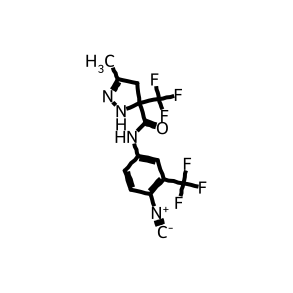 [C-]#[N+]c1ccc(NC(=O)C2(C(F)(F)F)CC(C)=NN2)cc1C(F)(F)F